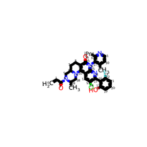 C=CC(=O)N1CC2CCc3c(c4cc(Cl)c(-c5c(O)cccc5F)nc4n(-c4c(C)ccnc4C(C)C)c3=O)N2CC1C